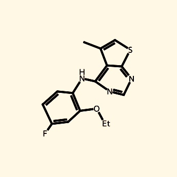 CCOc1cc(F)ccc1Nc1ncnc2scc(C)c12